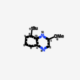 COc1cnc2cccc(C(C)(C)C)c2n1